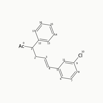 CC(=O)C(C/C=C/c1cccc(Cl)c1)c1ccccc1